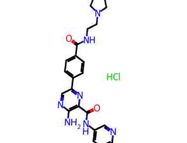 Cl.Nc1ncc(-c2ccc(C(=O)NCCN3CCCC3)cc2)nc1C(=O)Nc1cccnc1